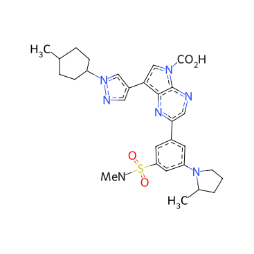 CNS(=O)(=O)c1cc(-c2cnc3c(n2)c(-c2cnn(C4CCC(C)CC4)c2)cn3C(=O)O)cc(N2CCCC2C)c1